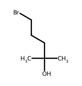 CC(C)(O)CCCBr